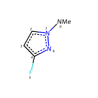 CNn1ccc(F)n1